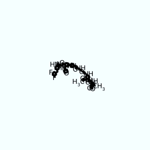 CC(=O)Nc1cc(NCCOCCNC(=O)CN2CCN(c3ccc(C(=O)Nc4n[nH]c5ccc(Cc6cc(F)cc(F)c6)cc45)c(NC4CCOCC4)c3)CC2)ccc1C(=O)Nc1nc(C)c([N+](=O)[O-])s1